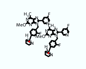 COc1nc(C)c2nc(-c3cncc(F)c3)n(Cc3ccc([C@@H]4CN5CCC4CC5)cc3F)c2n1.COc1nc(C)c2nc(-c3cncc(F)c3)n(Cc3ccc([C@H]4CN5CCC4CC5)cc3F)c2n1